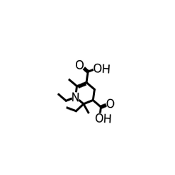 CCN1C(C)=C(C(=O)O)CC(C(=O)O)C1(C)CC